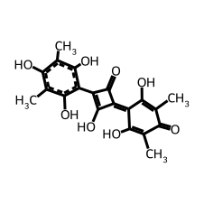 CC1=C(O)C(=C2C(=O)C(c3c(O)c(C)c(O)c(C)c3O)=C2O)C(O)=C(C)C1=O